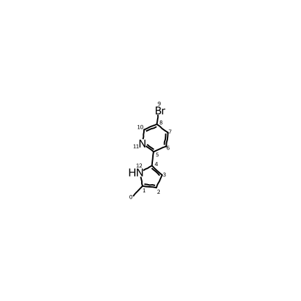 Cc1ccc(-c2ccc(Br)cn2)[nH]1